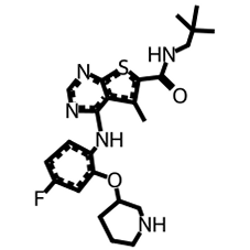 Cc1c(C(=O)NCC(C)(C)C)sc2ncnc(Nc3ccc(F)cc3OC3CCCNC3)c12